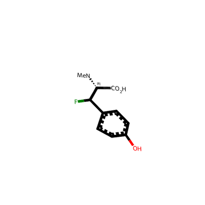 CN[C@H](C(=O)O)C(F)c1ccc(O)cc1